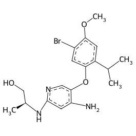 COc1cc(C(C)C)c(Oc2cnc(N[C@@H](C)CO)cc2N)cc1Br